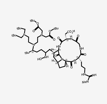 CNC(=N)NCCC[C@@H]1NC(=O)[C@@H]2CC[C@H]3C[C@@H](CC(CC[C@H](N(CCN(CC(=O)OC(C)(C)C)CC(=O)OC(C)(C)C)CCN(CC(C)(C)C)CC(C)(C)C)C(C)(C)C)NO)[C@@H](NC(=O)[C@H](CC(=O)O)NC(=O)CNC1=O)C(=O)N32